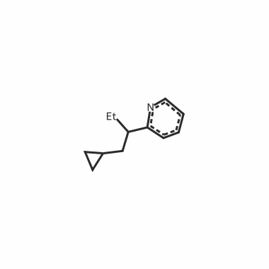 CCC(CC1CC1)c1ccccn1